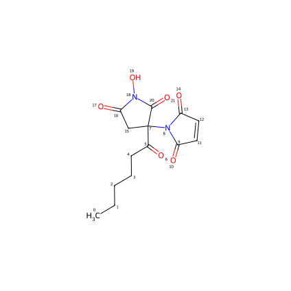 CCCCCC(=O)C1(N2C(=O)C=CC2=O)CC(=O)N(O)C1=O